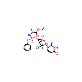 CCOC(=O)[C@H](C)NP(=O)(Oc1ccccc1)OC1C2[C@@H]1O[C@@H](n1ccc(=O)[nH]c1=O)[C@]2(C)Cl